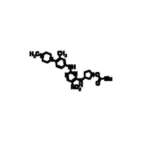 Cc1cc(Nc2ncc([N+](=O)[O-])c(N[C@H]3CCN(OC(=O)C(C)(C)C)C3)n2)ccc1N1CCN(C)CC1